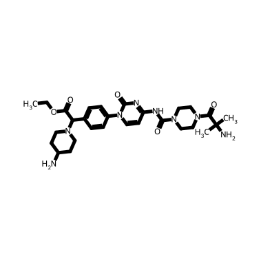 CCOC(=O)C(c1ccc(-n2ccc(NC(=O)N3CCN(C(=O)C(C)(C)N)CC3)nc2=O)cc1)N1CCC(N)CC1